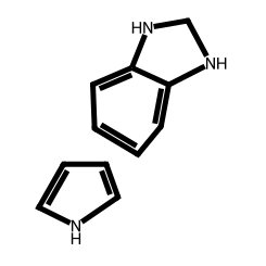 c1cc[nH]c1.c1ccc2c(c1)NCN2